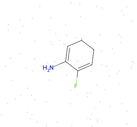 NC1=C[CH]CC=C1F